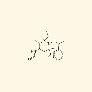 CCC1(C)CC(NC=O)C(C)C(C)(CC)N1OC(C)c1ccccc1